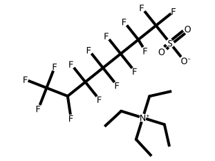 CC[N+](CC)(CC)CC.O=S(=O)([O-])C(F)(F)C(F)(F)C(F)(F)C(F)(F)C(F)(F)C(F)C(F)(F)F